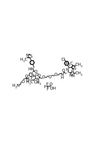 Cc1ncsc1-c1ccc(CNC(=O)[C@@H]2C[C@@H](OC(=O)COCCN)CN2C(=O)[C@@H](NC(=O)COCCOCCOCCNC(=O)C[C@@H]2N=C(c3ccc(Cl)cc3)c3c(sc(C)c3C)-n3c(C)nnc32)C(C)(C)C)cc1.O=C(O)C(F)(F)F